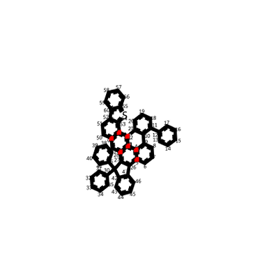 c1ccc(-c2ccccc2-c2c(-c3ccccc3)cccc2N(c2ccc3c(c2)C(c2ccccc2)(c2ccccc2)c2ccccc2-3)c2cccc3c2sc2ccccc23)cc1